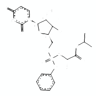 CC(C)OC(=O)[C@H](C)NP(=O)(OC[C@H]1O[C@@H](n2ccc(=O)[nH]c2=O)[C@H](O)[C@@]1(C)O)Oc1ccccc1